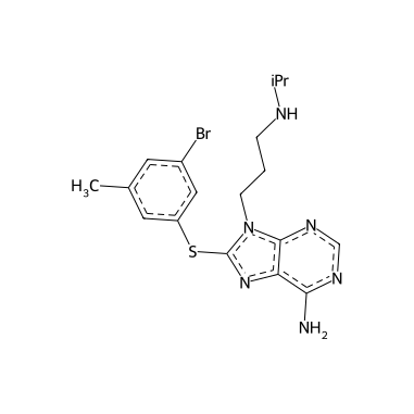 Cc1cc(Br)cc(Sc2nc3c(N)ncnc3n2CCCNC(C)C)c1